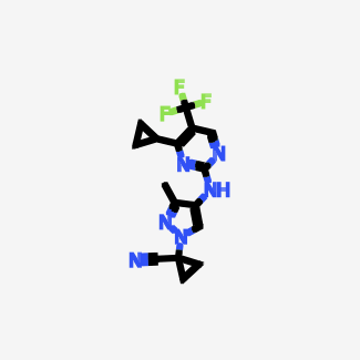 Cc1nn(C2(C#N)CC2)cc1Nc1ncc(C(F)(F)F)c(C2CC2)n1